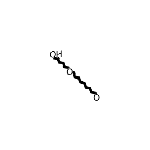 O=CCCCCCC=CCOCCCCCCO